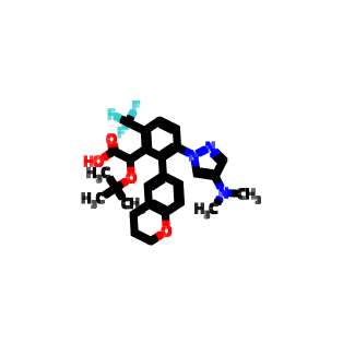 CN(C)c1cnn(-c2ccc(C(F)(F)F)c(C(OC(C)(C)C)C(=O)O)c2-c2ccc3c(c2)CCCO3)c1